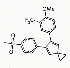 COc1ccc(C2=CC3(C=C2c2ccc(S(C)(=O)=O)cc2)CC3)cc1C(F)(F)F